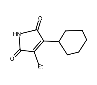 CCC1=C(C2CCCCC2)C(=O)NC1=O